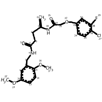 C=C(CCC(=O)NCc1cc(OC)ccc1OC)NC(=O)COc1ccc(Cl)c(F)c1